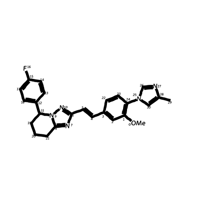 COc1cc(C=Cc2nc3n(n2)C(c2ccc(F)cc2)CCC3)ccc1-n1cnc(C)c1